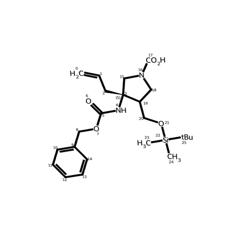 C=CC[C@@]1(NC(=O)OCc2ccccc2)CN(C(=O)O)CC1CO[Si](C)(C)C(C)(C)C